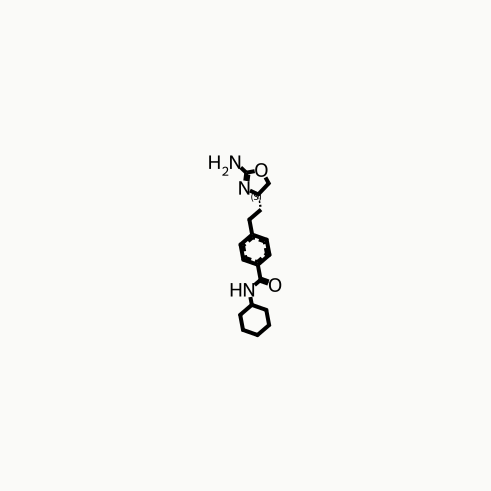 NC1=N[C@@H](CCc2ccc(C(=O)NC3CCCCC3)cc2)CO1